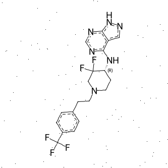 FC(F)(F)c1ccc(CCN2CC[C@@H](Nc3ncnc4[nH]ncc34)C(F)(F)C2)cc1